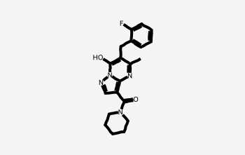 Cc1nc2c(C(=O)N3CCCCC3)cnn2c(O)c1Cc1ccccc1F